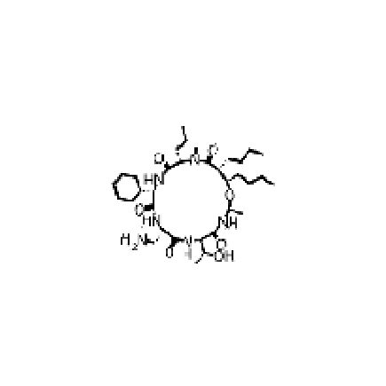 CCCC[C@H]1O[C@@H](C)NC(=O)[C@H]([C@H](C)O)NC(=O)[C@H](CN)NC(=O)[C@H](C2CCCCC2)NC(=O)[C@H](CCC)N(C)C(=O)[C@@H]1CCCC